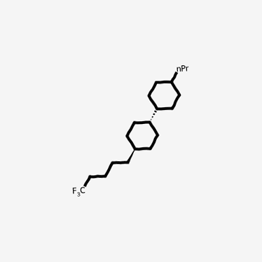 CCCC1CCC([C@H]2CC[C@H](CCCCC(F)(F)F)CC2)CC1